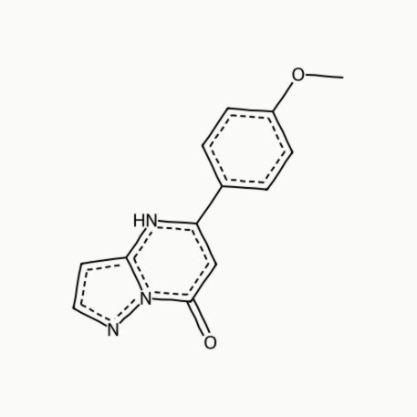 COc1ccc(-c2cc(=O)n3nccc3[nH]2)cc1